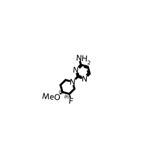 CO[C@H]1CCN(c2nccc(N)n2)C[C@H]1F